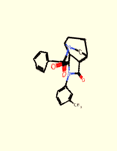 O=C1C2C3CCC(C2C(=O)N1c1cccc(C(F)(F)F)c1)N(C(=O)c1ccccc1)C3